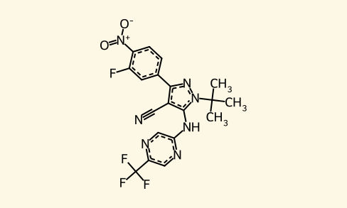 CC(C)(C)n1nc(-c2ccc([N+](=O)[O-])c(F)c2)c(C#N)c1Nc1cnc(C(F)(F)F)cn1